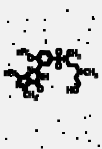 CCCOc1ccc(S(=O)(=O)N(C)CCN(C)CCO)cc1-c1nc2c(CCC)nn(C)c2c(=O)[nH]1